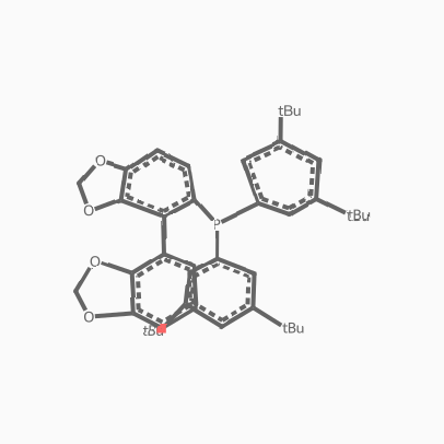 CC(C)(C)c1cc(P(c2cc(C(C)(C)C)cc(C(C)(C)C)c2)c2ccc3c(c2-c2[c]ccc4c2OCO4)OCO3)cc(C(C)(C)C)c1